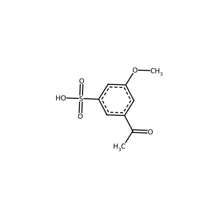 COc1cc(C(C)=O)cc(S(=O)(=O)O)c1